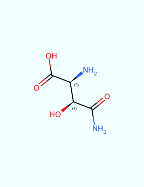 NC(=O)[C@@H](O)[C@H](N)C(=O)O